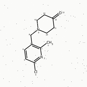 Cc1nc(Cl)ccc1CN1CCC(=O)CC1